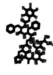 CCC(C)C(NC(=O)C(CC(=O)O)NC(=O)C(NC(=O)C(C)NC(=O)C(Cc1cnc[nH]1)NC(=O)CNC(=O)C(Cc1ccccc1)NC(=O)C(Cc1ccccc1)NC(=O)Cc1c(F)c(F)c(F)c(F)c1F)C(C)C)C(=O)O